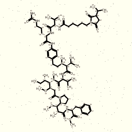 CC[C@H](C)[C@@H]([C@@H](CC(=O)N1CCC[C@H]1[C@H](OC)[C@@H](C)C(=O)N[C@@H](Cc1ccccc1)C(=O)OC)OC)N(C)C(=O)[C@@H](NC(=O)[C@H](C(C)C)N(C)CCc1ccc(NC(=O)[C@H](CCCNC(N)=O)NC(=O)[C@@H](NC(=O)CCCCCN2C(=O)CC(C(C)C)C2=O)C(C)C)cc1)C(C)C